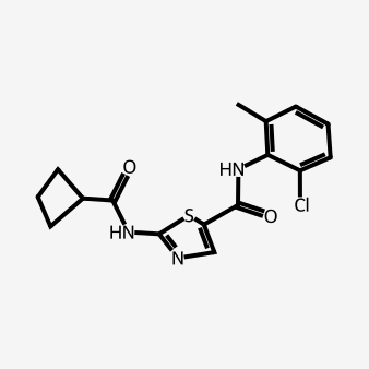 Cc1cccc(Cl)c1NC(=O)c1cnc(NC(=O)C2CCC2)s1